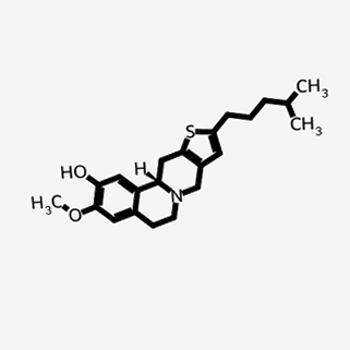 COc1cc2c(cc1O)[C@@H]1Cc3sc(CCCC(C)C)cc3CN1CC2